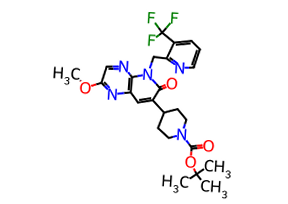 COc1cnc2c(cc(C3CCN(C(=O)OC(C)(C)C)CC3)c(=O)n2Cc2ncccc2C(F)(F)F)n1